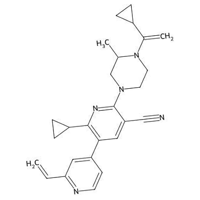 C=Cc1cc(-c2cc(C#N)c(N3CCN(C(=C)C4CC4)C(C)C3)nc2C2CC2)ccn1